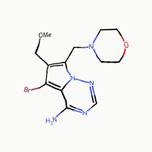 COCc1c(Br)c2c(N)ncnn2c1CN1CCOCC1